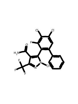 Cn1nc(C(F)(F)F)c(C(N)=O)c1-c1c(-c2ccccc2)cc(Cl)c(Cl)c1F